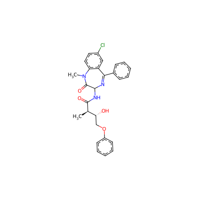 C[C@@H](C(=O)NC1N=C(c2ccccc2)c2cc(Cl)ccc2N(C)C1=O)[C@H](O)COc1ccccc1